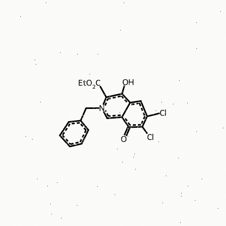 CCOC(=O)c1c(O)c2cc(Cl)c(Cl)c(=O)c-2cn1Cc1ccccc1